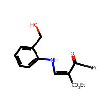 CCOC(=O)C(=CNc1ccccc1CO)C(=O)C(C)C